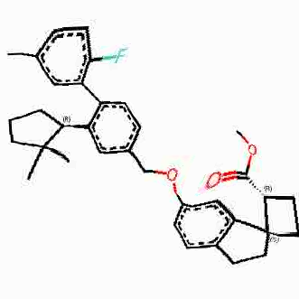 COC(=O)[C@@H]1CC[C@]12CCc1ccc(OCc3ccc(-c4cc(C)ccc4F)c([C@@H]4CCCC4(C)C)c3)cc12